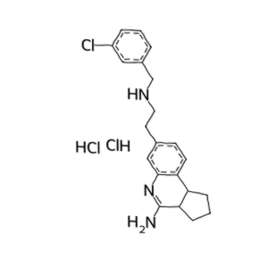 Cl.Cl.NC1=Nc2cc(CCNCc3cccc(Cl)c3)ccc2C2CCCC12